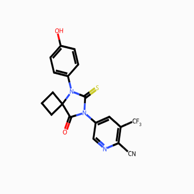 N#Cc1ncc(N2C(=O)C3(CCC3)N(c3ccc(O)cc3)C2=S)cc1C(F)(F)F